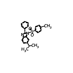 Cc1ccc(S(=O)(=O)n2c(-c3ccccc3)nc3ccc(C(C)C)cc32)cc1